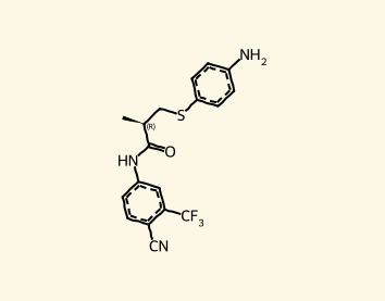 C[C@@H](CSc1ccc(N)cc1)C(=O)Nc1ccc(C#N)c(C(F)(F)F)c1